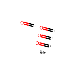 [C]=O.[C]=O.[C]=O.[C]=O.[Re]